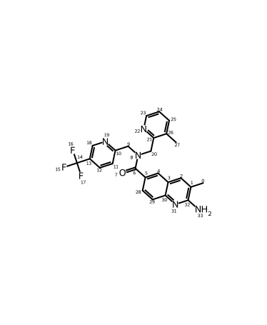 Cc1cc2cc(C(=O)N(Cc3ccc(C(F)(F)F)cn3)Cc3ncccc3C)ccc2nc1N